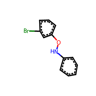 Brc1cccc(ONc2ccccc2)c1